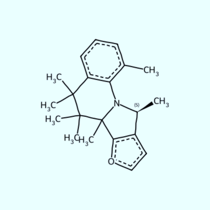 Cc1cccc2c1N1[C@@H](C)c3ccoc3C1(C)C(C)(C)C2(C)C